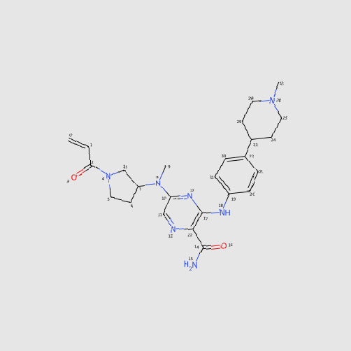 C=CC(=O)N1CCC(N(C)c2cnc(C(N)=O)c(Nc3ccc(C4CCN(C)CC4)cc3)n2)C1